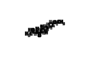 CCOc1ccc(N2C[C@H]3CN(C(=O)NC[C@@H](C)O)C[C@H]3C2)cc1